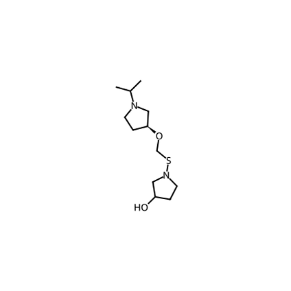 CC(C)N1CC[C@H](OCSN2CCC(O)C2)C1